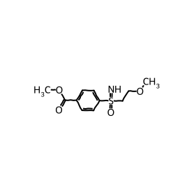 COCCS(=N)(=O)c1ccc(C(=O)OC)cc1